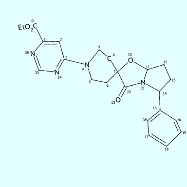 CCOC(=O)c1cc(N2CCC3(CC2)OC2CCC(c4ccccc4)N2C3=O)ncn1